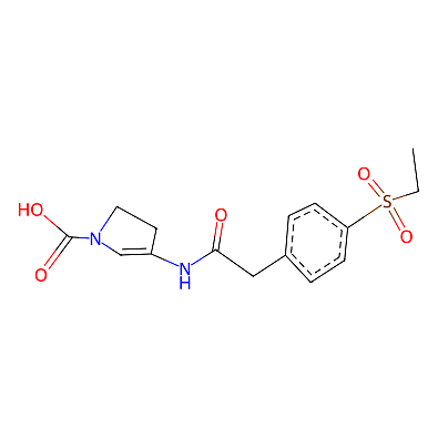 CCS(=O)(=O)c1ccc(CC(=O)NC2=CN(C(=O)O)CC2)cc1